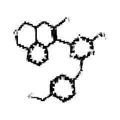 Nc1nc(Oc2ccc(CO)cc2)nc(C2=C(Cl)CC3COCc4cccc2c43)n1